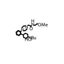 COCCNC(=O)CN1CCN(c2ccccc2C2CCC(C(C)(C)C)CC2)CC1.Cl